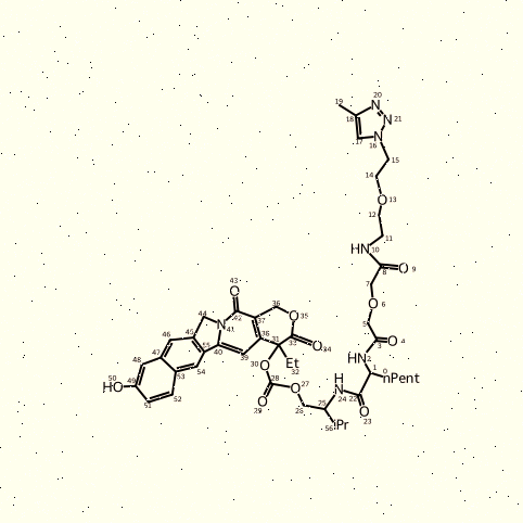 CCCCCC(NC(=O)COCC(=O)NCCOCCn1cc(C)nn1)C(=O)NC(COC(=O)OC1(CC)C(=O)OCc2c1cc1n(c2=O)Cc2cc3cc(O)ccc3cc2-1)C(C)C